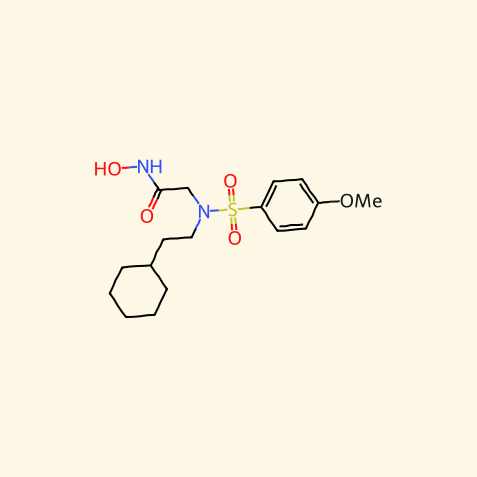 COc1ccc(S(=O)(=O)N(CCC2CCCCC2)CC(=O)NO)cc1